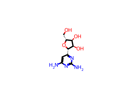 Nc1cc([C@@H]2O[C@H](CO)[C@@H](O)[C@H]2O)nc(N)n1